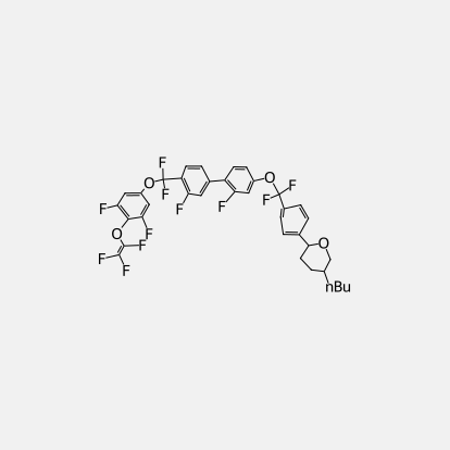 CCCCC1CCC(c2ccc(C(F)(F)Oc3ccc(-c4ccc(C(F)(F)Oc5cc(F)c(OC(F)=C(F)F)c(F)c5)c(F)c4)c(F)c3)cc2)OC1